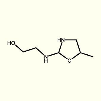 CC1CNC(NCCO)O1